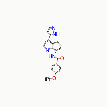 CC(C)Oc1ccc(C(=O)Nc2cccc3c(-c4ccn[nH]4)ccnc23)cc1